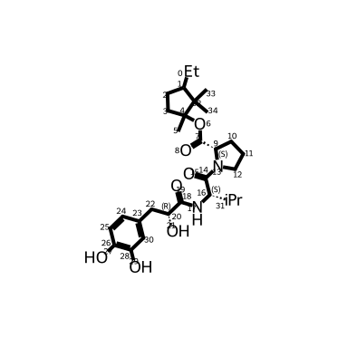 CCC1CCC(C)(OC(=O)[C@@H]2CCCN2C(=O)[C@@H](NC(=O)[C@H](O)Cc2ccc(O)c(O)c2)C(C)C)C1(C)C